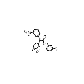 Nc1cccc(N(C(=O)OCc2cccc(F)c2)c2ccnc(Cl)n2)c1